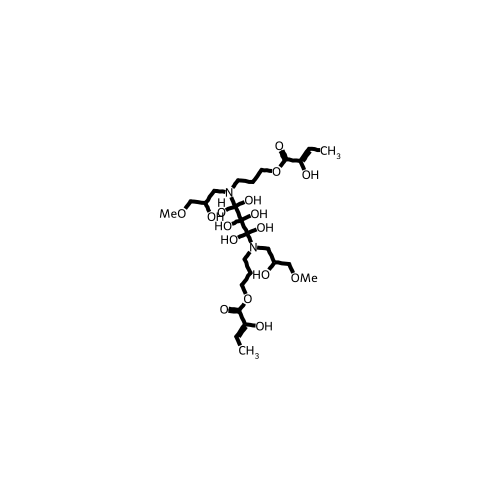 CC=C(O)C(=O)OCCCN(CC(O)COC)C(O)(O)C(O)(O)C(O)(O)N(CCCOC(=O)C(O)=CC)CC(O)COC